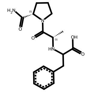 C[C@H](NC(Cc1ccccc1)C(=O)O)C(=O)N1CCC[C@H]1C(N)=O